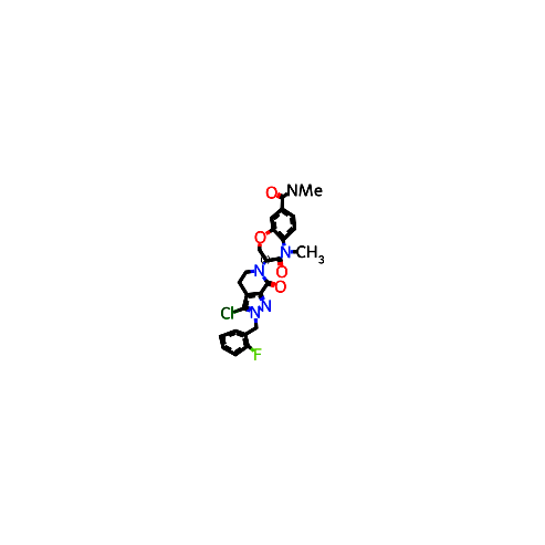 CNC(=O)c1ccc2c(c1)OC[C@H](N1CCc3c(nn(Cc4ccccc4F)c3Cl)C1=O)C(=O)N2C